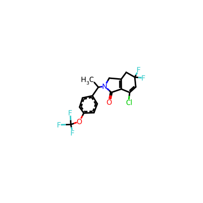 CC(c1ccc(OC(F)(F)F)cc1)N1CC2=C(C1=O)C(Cl)=CC(F)(F)C2